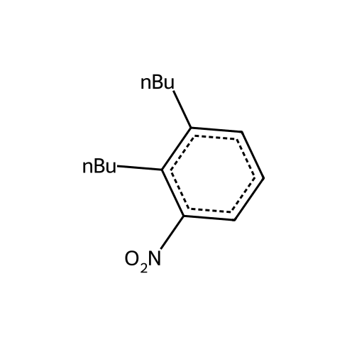 CCCCc1cccc([N+](=O)[O-])c1CCCC